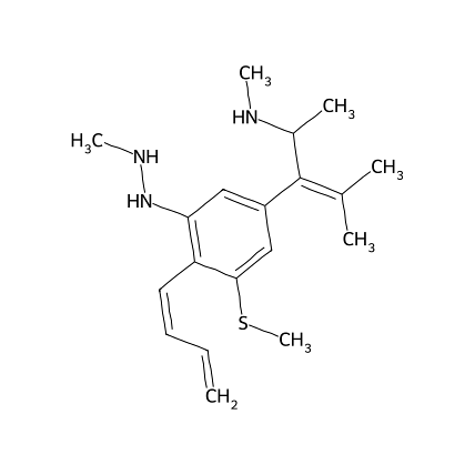 C=C/C=C\c1c(NNC)cc(C(=C(C)C)C(C)NC)cc1SC